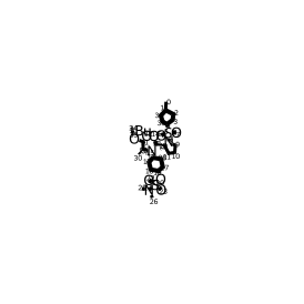 Cc1ccc(S(=O)(=O)N2CCC[C@H]2C(=O)N(c2ccc(OS(=O)(=O)N(C)C)cc2)[C@@H](C)C(=O)OC(C)(C)C)cc1